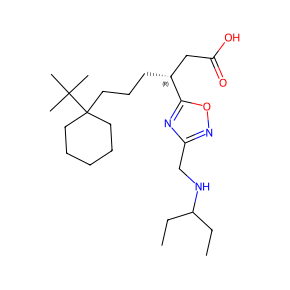 CCC(CC)NCc1noc([C@H](CCCC2(C(C)(C)C)CCCCC2)CC(=O)O)n1